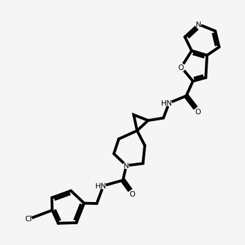 O=C(NCC1CC12CCN(C(=O)NCc1ccc(Cl)cc1)CC2)c1cc2ccncc2o1